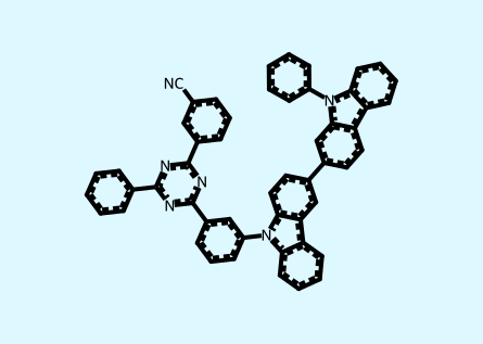 N#Cc1cccc(-c2nc(-c3ccccc3)nc(-c3cccc(-n4c5ccccc5c5cc(-c6ccc7c8ccccc8n(-c8ccccc8)c7c6)ccc54)c3)n2)c1